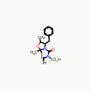 CC(=O)OC1OC(C)(C)N(C(=O)N(CC(C)C)C(=O)O)C1Cc1ccccc1